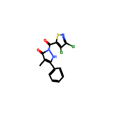 Cc1c(-c2ccccc2)[nH]n(C(=O)c2snc(Cl)c2Cl)c1=O